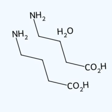 NCCCC(=O)O.NCCCC(=O)O.O